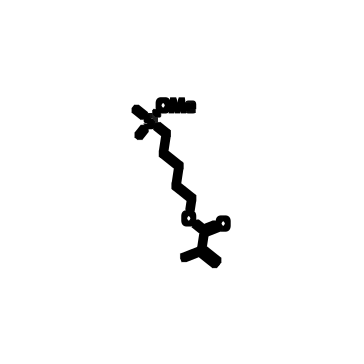 C=C(C)C(=O)OCCCCC[Si](C)(C)OC